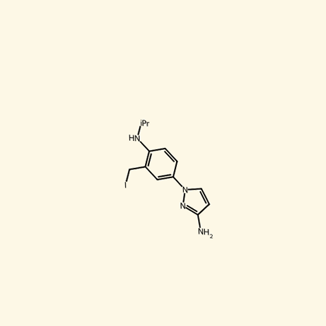 CC(C)Nc1ccc(-n2ccc(N)n2)cc1CI